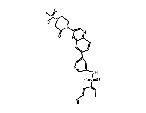 C=CC=CC(=CC)S(=O)(=O)Nc1cncc(-c2ccc3ncc(N4CCN(S(C)(=O)=O)CC4=O)nc3c2)c1